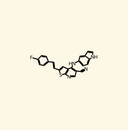 N#Cc1cnc2sc(C=Cc3ccc(F)cc3)cc2c1Nc1ccc2[nH]ccc2c1